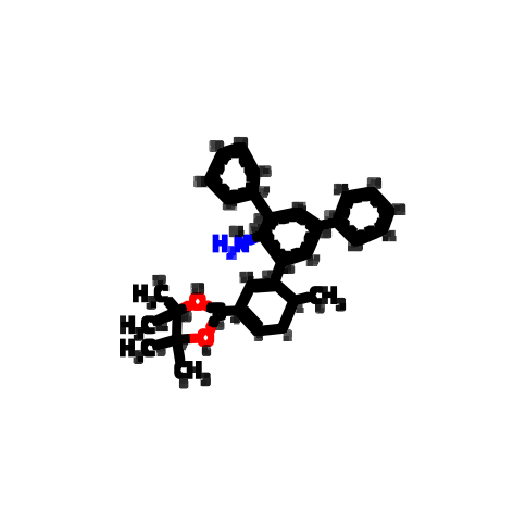 CC1CC=C(B2OC(C)(C)C(C)(C)O2)C=C1c1cc(-c2ccccc2)cc(-c2ccccc2)c1N